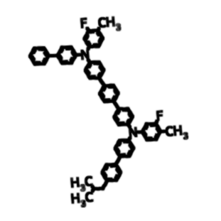 Cc1ccc(N(c2ccc(-c3ccccc3)cc2)c2ccc(-c3ccc(-c4ccc(N(c5ccc(-c6ccc(CC(C)C)cc6)cc5)c5ccc(C)c(F)c5)cc4)cc3)cc2)cc1F